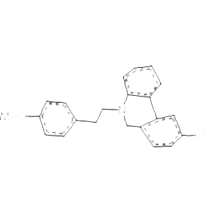 COc1ccc(CCN2Cc3ccc(C(F)(F)F)cc3-c3ccccc32)cc1